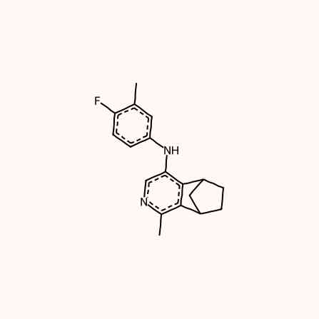 Cc1cc(Nc2cnc(C)c3c2C2CCC3C2)ccc1F